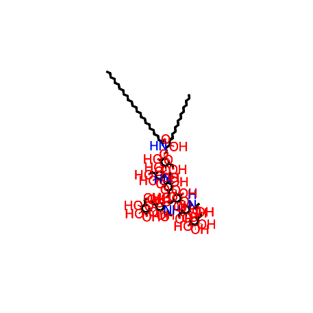 CCCCCCCCCCCCC/C=C/[C@@H](O)[C@H](CO[C@@H]1OC(CO)[C@@H](O[C@@H]2OC(CO)[C@H](O)[C@H](O[C@@H]3OC(CO)[C@@H](O[C@@H]4OC(CO[C@@H]5OC(CO)[C@@H](O[C@@H]6OC(CO)[C@H](O)[C@H](O)C6O)[C@H](O)C5NC(C)=O)[C@H](O)[C@H](O[C@@H]5OC(CO)[C@@H](O[C@@H]6OC(CO)[C@H](O)[C@H](O)C6O)[C@H](O)C5NC(C)=O)C4O)[C@H](O)C3NC(C)=O)C2O)[C@H](O)C1O)NC(=O)CCCCCCCCCCCCCCCCCCCCCCCCC